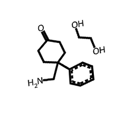 NCC1(c2ccccc2)CCC(=O)CC1.OCCO